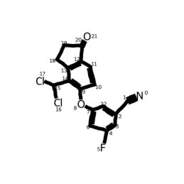 N#Cc1cc(F)cc(Oc2ccc3c(c2C(Cl)Cl)CCC3=O)c1